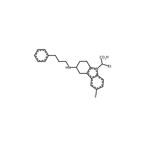 CCC(C(=O)O)n1c2c(c3cc(F)ccc31)CC(NCCCc1ccccc1)CC2